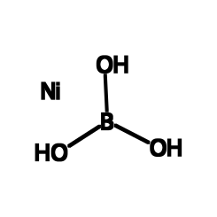 OB(O)O.[Ni]